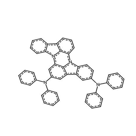 c1ccc(N(c2ccccc2)c2ccc3c(c2)c2cc(N(c4ccccc4)c4ccccc4)cc4c2n3c2cccc3c5ccccc5n4c32)cc1